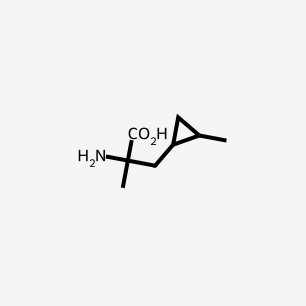 CC1CC1CC(C)(N)C(=O)O